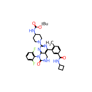 Cc1ccc(C(=O)NC2CCC2)cc1-c1nc(N2CCC(NC(=O)OC(C)(C)C)CC2)nc2c1CNC(=O)N2c1c(F)cccc1F